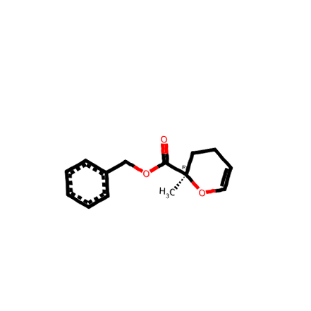 C[C@]1(C(=O)OCc2ccccc2)CCC=CO1